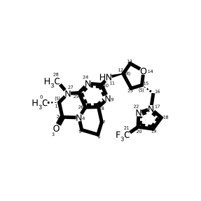 C[C@H]1C(=O)N2CCCc3nc(N[C@H]4CO[C@H](Cn5ccc(C(F)(F)F)n5)C4)nc(c32)N1C